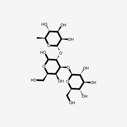 C[C@@H]1O[C@@H](O[C@H]2C(O)O[C@H](CO)[C@H](O)[C@@H]2O[C@@H]2O[C@H](CO)[C@@H](O)[C@H](O)[C@H]2O)[C@H](O)[C@H](O)[C@H]1O